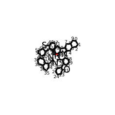 c1ccc2cc3c(cc2c1)c1ccccc1n3-c1ccc2oc3ccccc3c2c1-c1nc(-c2cccc3ccccc23)nc(-c2cccc3sc4ccccc4c23)n1